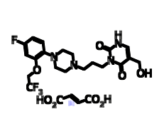 O=C(O)/C=C/C(=O)O.O=c1[nH]cc(CO)c(=O)n1CCCN1CCN(c2ccc(F)cc2OCC(F)(F)F)CC1